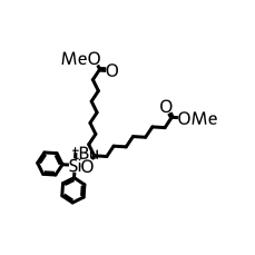 COC(=O)CCCCCCCC(CCCCCCCC(=O)OC)O[Si](c1ccccc1)(c1ccccc1)C(C)(C)C